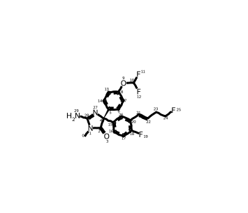 CN1C(=O)[C@@](c2ccc(OC(F)F)cc2)(c2ccc(F)c(C=CCCF)c2)N=C1N